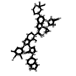 Cc1cc(-n2nc3c(c2-n2ccn(-c4ccc5[nH]ncc5c4)c2=O)[C@H](C)N(C(=O)c2cc4cc([C@H]5CCOC(C)(C)C5)ccc4n2[C@@]2(c4noc(=O)[nH]4)C[C@@H]2C)CC3)cc(C)c1F